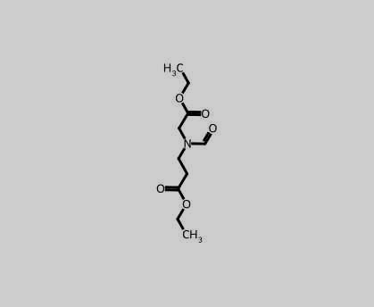 CCOC(=O)CCN(C=O)CC(=O)OCC